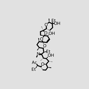 CC[C@@H](C(=NC)[C@@H](C)[C@@H](O)[C@H](C)[C@@H]1O[C@@H]([C@@H](CC)C(C)=O)CC[C@@H]1C)[C@H]1O[C@]2(C=C[C@@H](O)[C@]3(CC[C@@](C)([C@H]4CC[C@](O)(CC)[C@H](C)O4)O3)O2)[C@H](C)C[C@@H]1C